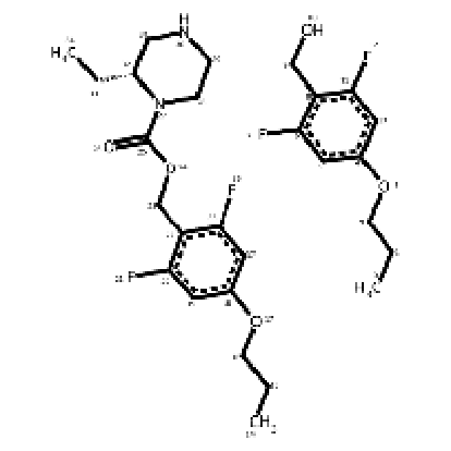 CCCOc1cc(F)c(CO)c(F)c1.CCCOc1cc(F)c(COC(=O)N2CCNC[C@H]2CC)c(F)c1